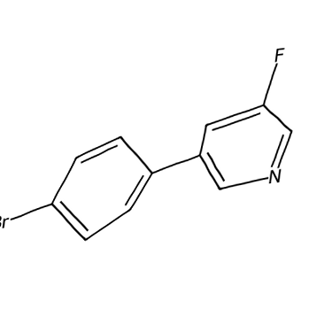 Fc1cncc(-c2ccc(Br)cc2)c1